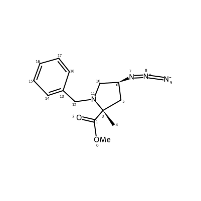 COC(=O)[C@@]1(C)C[C@H](N=[N+]=[N-])CN1Cc1ccccc1